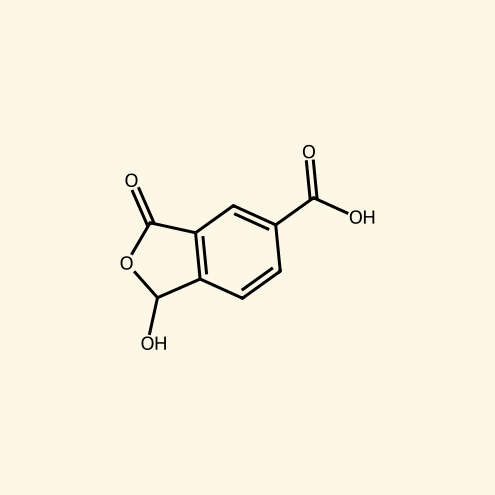 O=C(O)c1ccc2c(c1)C(=O)OC2O